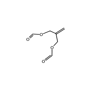 C=C(COC=O)COC=O